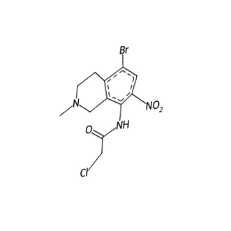 CN1CCc2c(Br)cc([N+](=O)[O-])c(NC(=O)CCl)c2C1